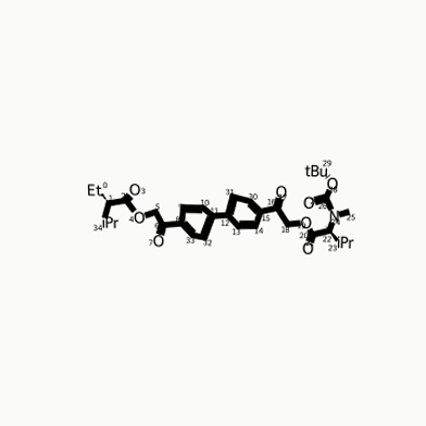 CC[C@H](C(=O)OCC(=O)c1ccc(-c2ccc(C(=O)COC(=O)[C@H](C(C)C)N(C)C(=O)OC(C)(C)C)cc2)cc1)C(C)C